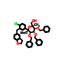 CO[C@@]1(c2ccc(Cl)c(Cc3ccc4c(c3)CCO4)c2)O[C@@](C)(CO)[C@@H](OCc2ccccc2)[C@H](OCc2ccccc2)[C@H]1OCc1ccccc1